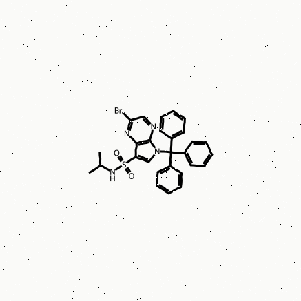 CC(C)NS(=O)(=O)c1cn(C(c2ccccc2)(c2ccccc2)c2ccccc2)c2ncc(Br)nc12